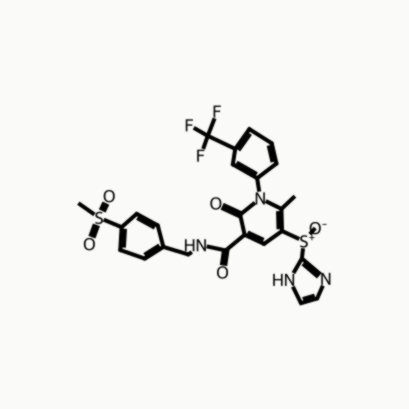 Cc1c([S+]([O-])c2ncc[nH]2)cc(C(=O)NCc2ccc(S(C)(=O)=O)cc2)c(=O)n1-c1cccc(C(F)(F)F)c1